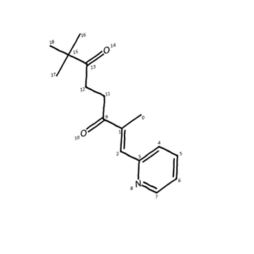 C/C(=C\c1ccccn1)C(=O)CCC(=O)C(C)(C)C